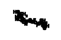 CN(CCO)S(=O)(=O)Nc1ccc(F)c(Oc2ccc3ncc([C@@H]4COC5(CCN(C6CCC(c7cc8c(cc7F)c(N7CCC(=O)NC7=O)nn8C)CC6F)CC5)C4)nc3c2)c1C#N